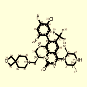 C[C@@H]1CN(c2nc(=O)n3c4c(c(-c5cc(Cl)c(F)cc5F)c(C(F)(F)F)cc24)SC[C@@H]3CN2CCC3(CC2)COC3)[C@@H](C)CN1